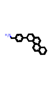 NCc1ccc(C2CC=c3ccc4c5c(ccc4c3C2)=CC=CC5)cc1